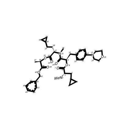 CN[C@@H](CC1CC1)C(=O)O[C@H](Cc1ccc(N2CCOCC2)cc1)C(=O)N(C)[C@@H](CCC1CC1)C(=O)O[C@H](C)C(=O)OCc1ccccc1